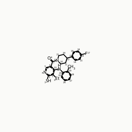 CCc1c(S)ncc(C(=O)N2CCC(c3ccc(F)cc3)CC2)c1Nc1ccccc1C